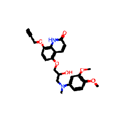 C#CCOc1ccc(OCC(O)CN(C)c2ccc(OC)c(OC)c2)c2ccc(=O)[nH]c12